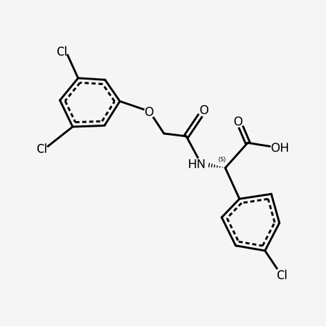 O=C(COc1cc(Cl)cc(Cl)c1)N[C@H](C(=O)O)c1ccc(Cl)cc1